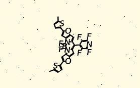 Cc1ccc(-c2cc3c(o2)=CC2=C(c4c(F)c(F)nc(F)c4F)c4cc5oc(-c6ccc(C)s6)cc5n4[B-](F)(F)[N+]=32)s1